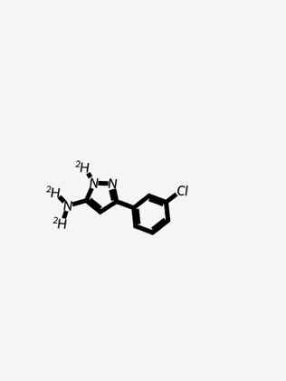 [2H]N([2H])c1cc(-c2cccc(Cl)c2)nn1[2H]